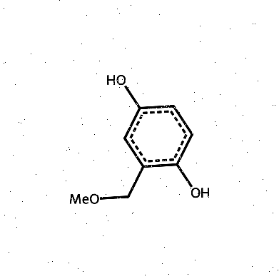 COCc1cc(O)ccc1O